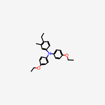 CCOc1ccc(N(c2ccc(OCC)cc2)c2ccc(CC)c(C)c2)cc1